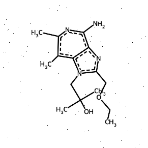 CCOCc1nc2c(N)nc(C)c(C)c2n1CC(C)(C)O